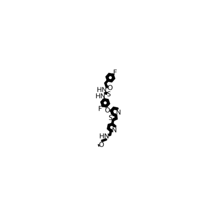 COCCNCc1ccc(-c2cc3nccc(Oc4ccc(NC(=S)NC(=O)Cc5ccc(F)cc5)cc4F)c3s2)cn1